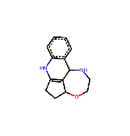 c1ccc2c(c1)NC1=C3C(CC1)OCCNC32